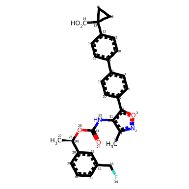 Cc1noc(-c2ccc(-c3ccc(C4(C(=O)O)CC4)cc3)cc2)c1NC(=O)O[C@H](C)c1cccc(CF)c1